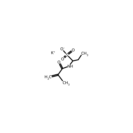 C=C(C)C(=O)NC(CC)S(=O)(=O)[O-].[K+]